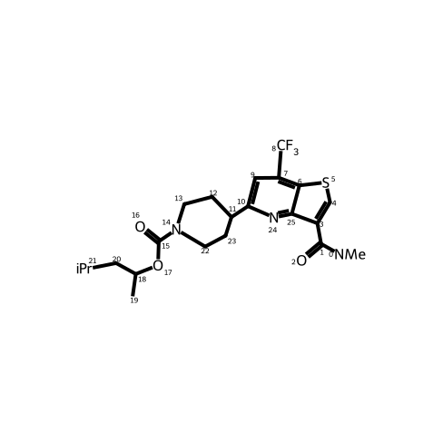 CNC(=O)c1csc2c(C(F)(F)F)cc(C3CCN(C(=O)OC(C)CC(C)C)CC3)nc12